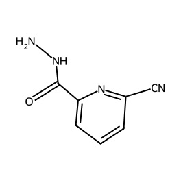 N#Cc1cccc(C(=O)NN)n1